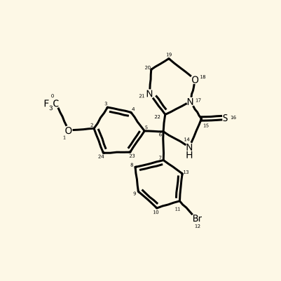 FC(F)(F)Oc1ccc(C2(c3cccc(Br)c3)NC(=S)N3OCCN=C32)cc1